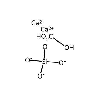 O=C(O)O.[Ca+2].[Ca+2].[O-][Si]([O-])([O-])[O-]